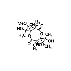 COC1(C)C(C)(O)C12OC(=O)C(C)(C)C1(OC(=O)C2(C)C)C(C)(O)C1(C)O